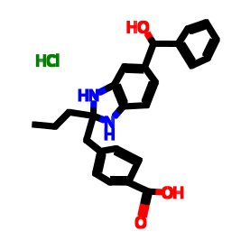 CCCC1(Cc2ccc(C(=O)O)cc2)Nc2ccc(C(O)c3ccccc3)cc2N1.Cl